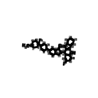 CN1CCC(F)(c2ccc(-c3ccc4c(c3)C(=O)N(C(c3nc5ccccc5[nH]3)c3cc(F)ccc3O)C4)cc2)CC1